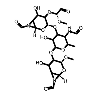 CO[C@@H](C=O)OC1C(O)C2[C@H](O[C@@H]1OC1C(O)C(OC3C(O)C4[C@H](O[C@@H]3OC)N4C=O)OC(C)C1NC=O)N2C=O